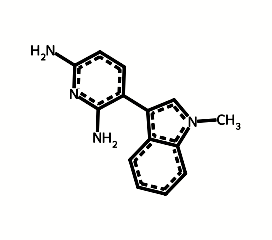 Cn1cc(-c2ccc(N)nc2N)c2ccccc21